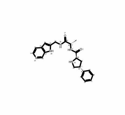 C[C@H](NC(=O)[C@H]1C[C@H](c2ccccc2)CN1)C(=O)NCc1cc2ccncc2[nH]1